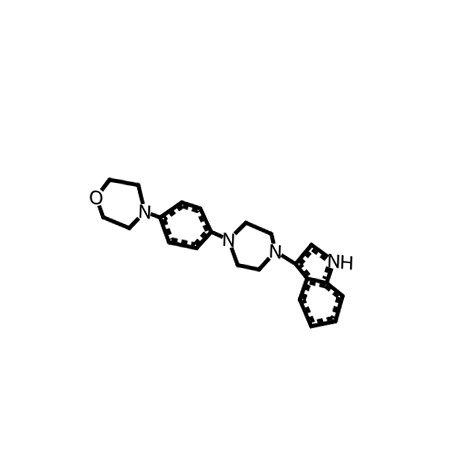 c1ccc2c(N3CCN(c4ccc(N5CCOCC5)cc4)CC3)c[nH]c2c1